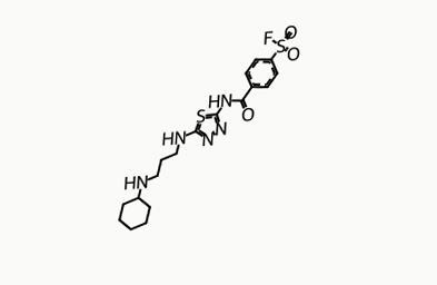 O=C(Nc1nnc(NCCCNC2CCCCC2)s1)c1ccc(S(=O)(=O)F)cc1